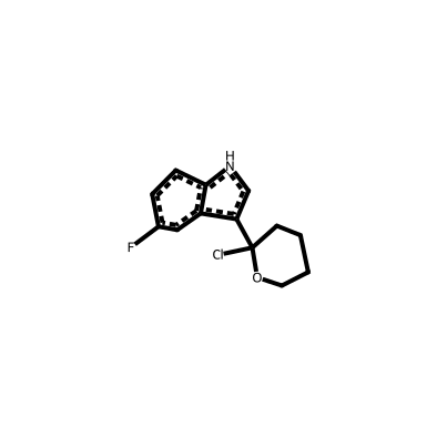 Fc1ccc2[nH]cc(C3(Cl)CCCCO3)c2c1